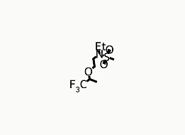 CCN(CCOC(C)C(F)(F)F)S(C)(=O)=O